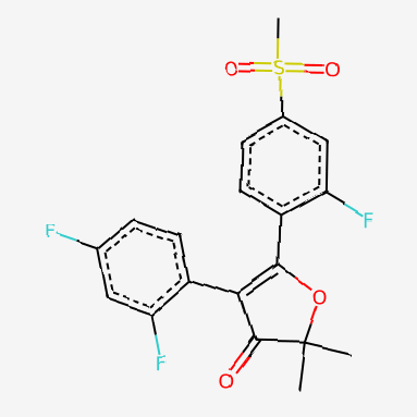 CC1(C)OC(c2ccc(S(C)(=O)=O)cc2F)=C(c2ccc(F)cc2F)C1=O